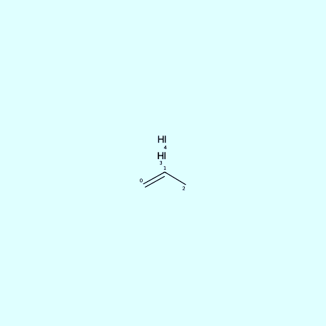 C=CC.I.I